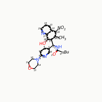 CCCCC(=O)NC(c1ccc(N2CCOCC2)nc1)c1c(C)c([N+](=O)[O-])c2cccnc2c1O